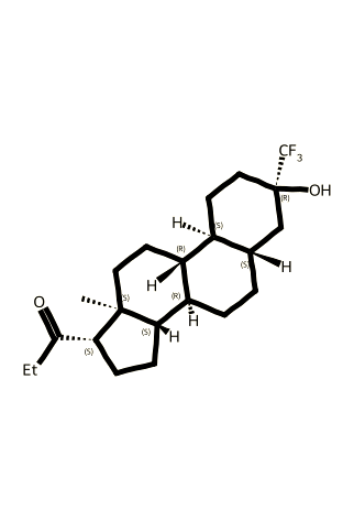 CCC(=O)[C@H]1CC[C@H]2[C@@H]3CC[C@H]4C[C@@](O)(C(F)(F)F)CC[C@@H]4[C@H]3CC[C@]12C